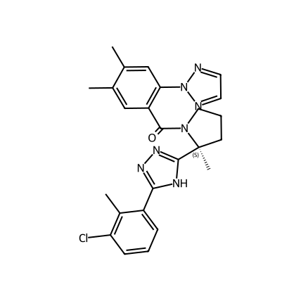 Cc1cc(C(=O)N2CCC[C@@]2(C)c2nnc(-c3cccc(Cl)c3C)[nH]2)c(-n2nccn2)cc1C